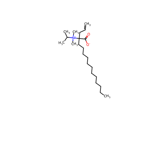 C=CCC(CCCCCCCCCCCC)(C(=O)[O-])[N+](C)(C)C(C)C